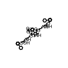 CC1=C(C(=O)OCCCNCC(O)COc2ccccc2C2CCCCC2)C(c2cccc([N+](=O)[O-])c2)C(C(=O)OCCCNCC(O)COc2ccccc2C2CCCCC2)=C(C)N1